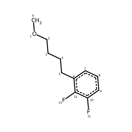 COCCCCc1cccc(F)c1F